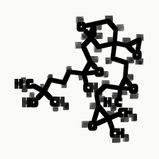 CC(C)(O)CCCC1(C)OC1CCC12CCC(CCC3OC3(C)CCC3OC3(C)C)(C3CO3)CC1O2